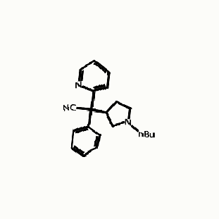 CCCCN1CCC(C(C#N)(c2ccccc2)c2ccccn2)C1